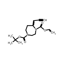 C#C/C=C1/CCN(C(=O)OC(C)(C)C)CCN1C(=O)OC=C